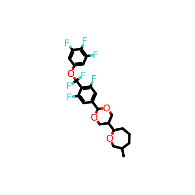 CC1CCCC(C2COC(c3cc(F)c(C(F)(F)Oc4cc(F)c(F)c(F)c4)c(F)c3)OC2)OC1